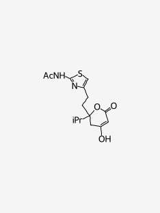 CC(=O)Nc1nc(CCC2(C(C)C)CC(O)=CC(=O)O2)cs1